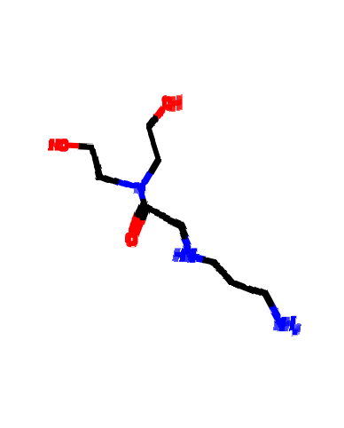 NCCCNCC(=O)N(CCO)CCO